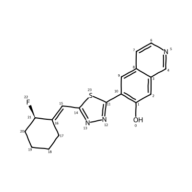 Oc1cc2cnccc2cc1-c1nnc(/C=C2\CCCC[C@H]2F)s1